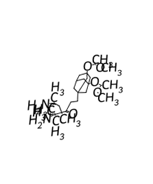 COC(C)OC12CC3CC(CCC(=O)C(C)(CC(C)(C)N)C(C)(C)N)(C1)CC(OC(C)OC)(C3)C2